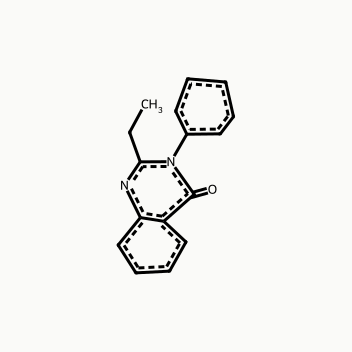 CCc1nc2ccccc2c(=O)n1-c1ccccc1